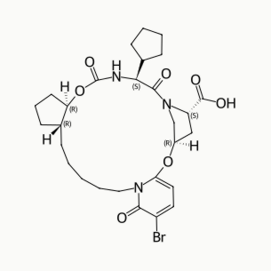 O=C1N[C@@H](C2CCCC2)C(=O)N2C[C@@H](C[C@H]2C(=O)O)Oc2ccc(Br)c(=O)n2CCCCC[C@@H]2CCC[C@H]2O1